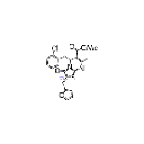 COC(=O)C1=C(C)N=c2s/c(=C\c3ccco3)c(=O)n2C1Cc1ccccc1Cl